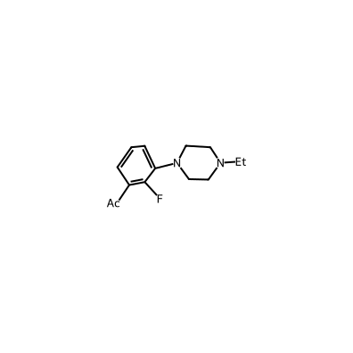 CCN1CCN(c2cccc(C(C)=O)c2F)CC1